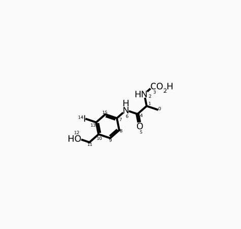 CC(NC(=O)O)C(=O)Nc1ccc(CO)c(I)c1